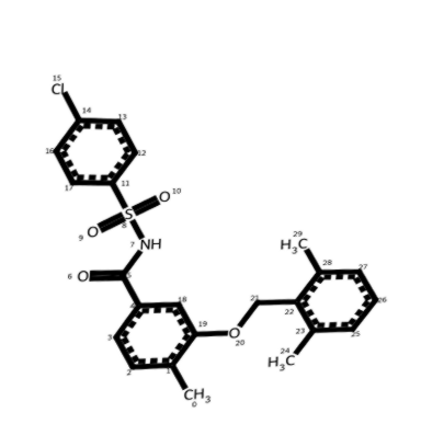 Cc1ccc(C(=O)NS(=O)(=O)c2ccc(Cl)cc2)cc1OCc1c(C)cccc1C